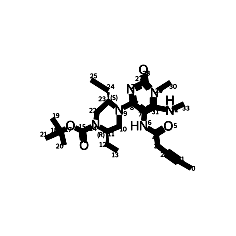 CC#CCC(=O)Nc1c(N2C[C@@H](CC)N(C(=O)OC(C)(C)C)C[C@@H]2CC)nc(=O)n(C)c1NC